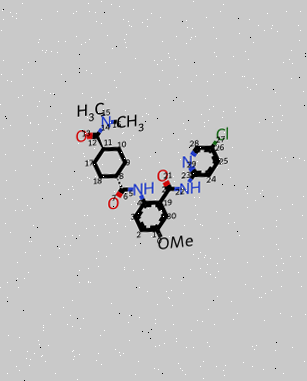 COc1ccc(NC(=O)[C@H]2CC[C@H](C(=O)N(C)C)CC2)c(C(=O)Nc2ccc(Cl)cn2)c1